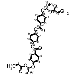 C=CC(=O)OC(CCC)Oc1ccc(C(=O)Oc2ccc(OC(=O)c3ccc(OC(CCC)OC(=O)C=C)cc3)cc2)cc1